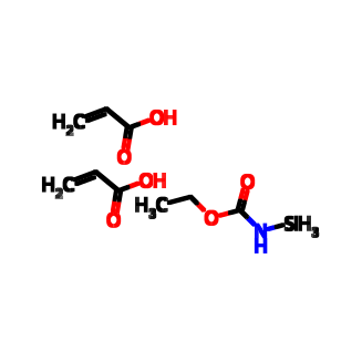 C=CC(=O)O.C=CC(=O)O.CCOC(=O)N[SiH3]